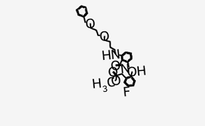 COC(=O)C(c1cc(F)ccc1O)N1Cc2cccc(NCCCCOCCCOCc3ccccc3)c2C1=O